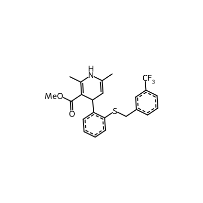 COC(=O)C1=C(C)NC(C)=CC1c1ccccc1SCc1cccc(C(F)(F)F)c1